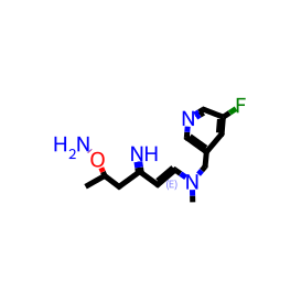 CC(CC(=N)/C=C/N(C)Cc1cncc(F)c1)ON